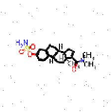 CN(C)C(=O)C1=CC[C@H]2[C@@H]3CCc4cc(OS(N)(=O)=O)ccc4[C@H]3CC[C@]12C